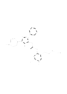 COCCCc1cc(Cl)c(Cl)cc1NC(=O)Nc1c(C)c(C2CCN(C)CC2)nn1-c1ccccc1